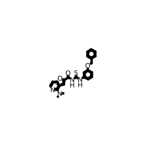 CN(C)c1nccc2oc(C(=O)NC(=S)Nc3cccc(OCc4ccccc4)c3)cc12